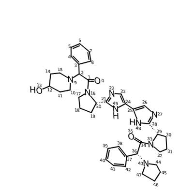 O=C(C(c1ccccc1)N1CCC(O)CC1)N1CCC[C@H]1c1ncc(-c2cnc([C@@H]3CCCN3C(=O)[C@@H](c3ccccc3)N3CCCC3)[nH]2)[nH]1